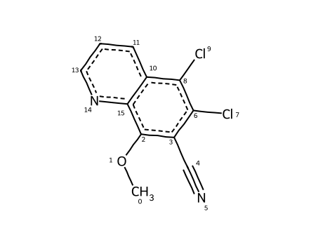 COc1c(C#N)c(Cl)c(Cl)c2cccnc12